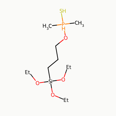 CCO[Si](CCCO[PH](C)(C)S)(OCC)OCC